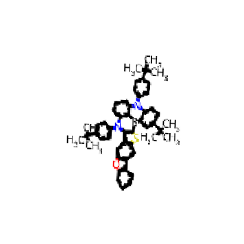 CC(C)(C)c1ccc(N2c3ccc(C(C)(C)C)cc3B3c4sc5cc6c(cc5c4N(c4ccc(C(C)(C)C)cc4)c4cccc2c43)oc2ccccc26)cc1